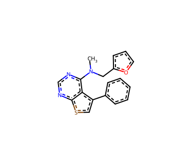 CN(Cc1ccco1)c1ncnc2scc(-c3ccccc3)c12